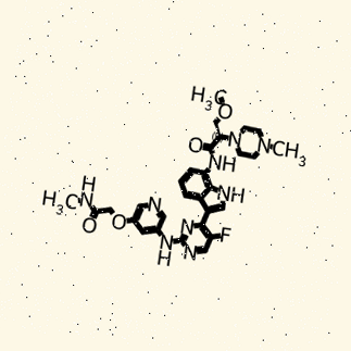 CNC(=O)COc1cncc(Nc2ncc(F)c(-c3c[nH]c4c(NC(=O)[C@@H](COC)N5CCN(C)CC5)cccc34)n2)c1